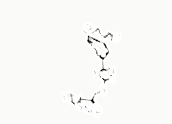 COc1ccc(-c2nsc(SCC(=O)NC(C)(C)C)n2)cc1